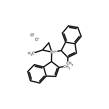 CC1=Cc2ccccc2[CH]1[Zr+2]1([CH]2C(C)=Cc3ccccc32)[CH2][CH]1C.[Cl-].[Cl-]